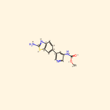 CC(C)OC(=O)Nc1cncc(-c2ccc3nc(N)sc3c2)c1